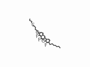 CCCCCCCCCOc1ccc2cc3c(oc4c(F)c(CCCCCCC)ccc43)c(F)c2c1F